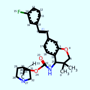 CC1(C)COc2cc(/C=C/c3cccc(F)c3)ccc2C1NC(=O)O[C@H]1CN2CCC1CC2